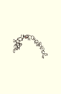 CC1(C)C(NC(=O)c2ccc(N3CCC(CN4C[C@@H]5C[C@H]4CN5c4ccc5c(c4)C(=O)N(N4CCC(=O)NC4=O)C5=O)CC3)nc2)C(C)(C)C1Oc1ccc(C#N)c(Cl)c1